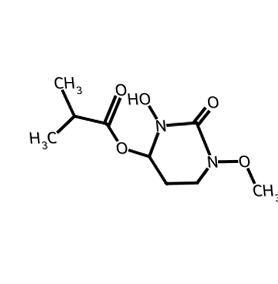 CON1CCC(OC(=O)C(C)C)N(O)C1=O